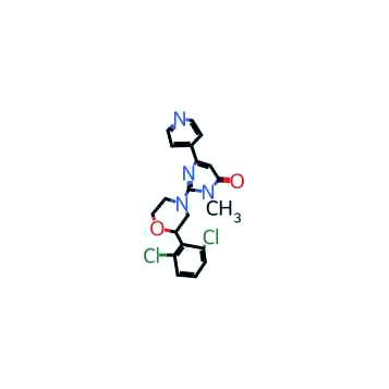 Cn1c(N2CCOC(c3c(Cl)cccc3Cl)C2)nc(-c2ccncc2)cc1=O